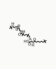 CC(C)(C)CCCCCC(=O)N[C@@H](CSCC(C)(C)CCC(C)(C)C(=O)NCCS(=O)(=O)CCNC(C)(C)C)C(=O)O